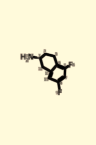 N[C@H]1CCc2c(F)cc(F)cc2C1